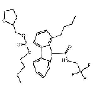 CCCCOP(=O)(OCC1CCCO1)c1ccc(CCCC)c2c1-c1ccccc1C2C(=O)NCC(F)(F)F